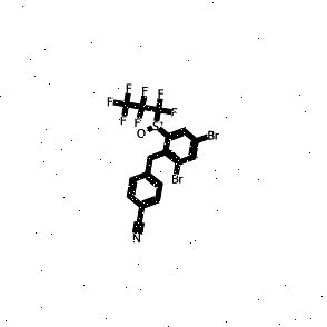 N#Cc1ccc(Cc2c(Br)[c]c(Br)cc2[S+]([O-])C(F)(F)C(F)(F)C(F)(F)F)cc1